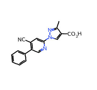 Cc1nn(-c2cc(C#N)c(-c3ccccc3)cn2)cc1C(=O)O